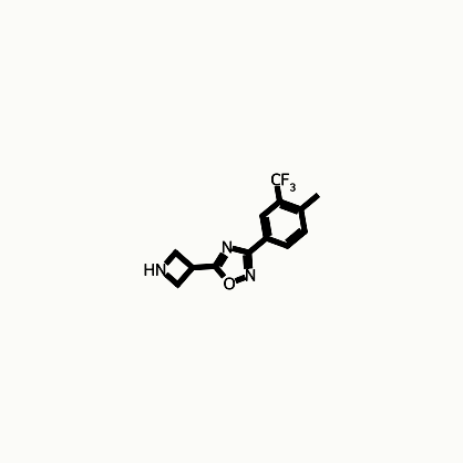 Cc1ccc(-c2noc(C3CNC3)n2)cc1C(F)(F)F